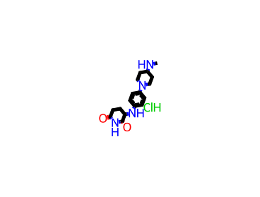 CNC1CCN(c2ccc(NC3CCC(=O)NC3=O)cc2)CC1.Cl